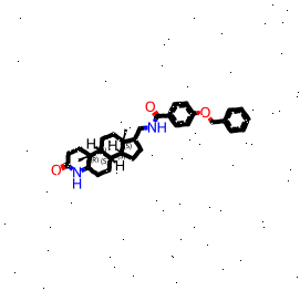 C[C@]12CCC(=O)NC1CC[C@@H]1[C@H]2CC[C@]2(C)C(CNC(=O)c3ccc(OCc4ccccc4)cc3)CC[C@@H]12